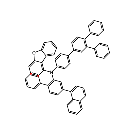 c1ccc(-c2ccc(-c3ccc(N(c4cc(-c5cccc6ccccc56)ccc4-c4ccccc4)c4cccc5oc6ccccc6c45)cc3)cc2-c2ccccc2)cc1